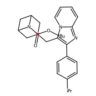 CC(C)c1ccc(-c2nc3ccccn3c2CN2CC3CC(C2)N3C(=O)OC(C)(C)C)cc1